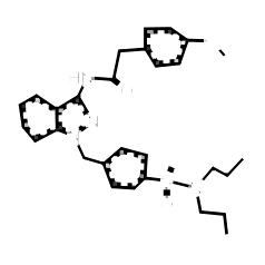 CCCN(CCC)S(=O)(=O)c1ccc(Cn2nc(NC(=O)Cc3ccc(OC)cc3)c3ccccc32)cc1